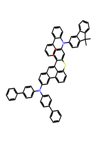 CC1(C)c2ccccc2-c2cc(N(c3ccc4c(c3)Sc3cccc5c3c-4cc3ccc(N(c4ccc(-c6ccccc6)cc4)c4ccc(-c6ccccc6)cc4)cc35)c3ccccc3-c3ccccc3)ccc21